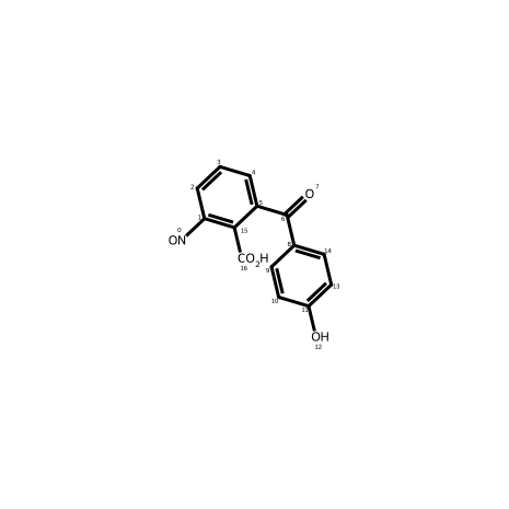 O=Nc1cccc(C(=O)c2ccc(O)cc2)c1C(=O)O